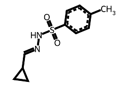 Cc1ccc(S(=O)(=O)NN=CC2CC2)cc1